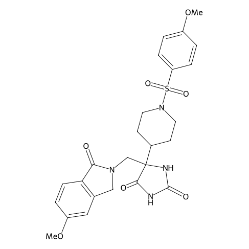 COc1ccc(S(=O)(=O)N2CCC(C3(CN4Cc5cc(OC)ccc5C4=O)NC(=O)NC3=O)CC2)cc1